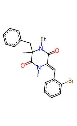 CCN1C(=O)C(=Cc2ccccc2Br)N(C)C(=O)C1(C)Cc1ccccc1